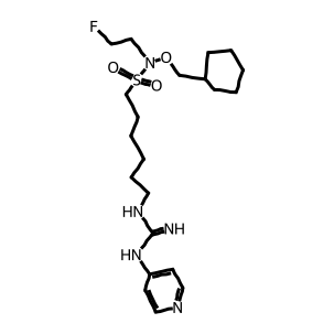 N=C(NCCCCCCS(=O)(=O)N(CCF)OCC1CCCCC1)Nc1ccncc1